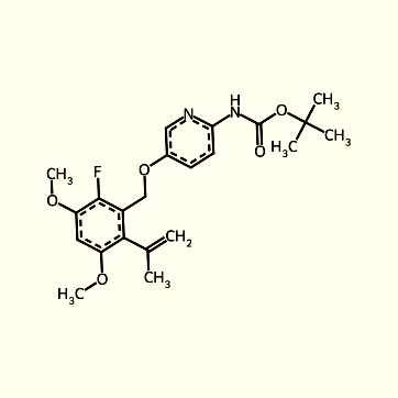 C=C(C)c1c(OC)cc(OC)c(F)c1COc1ccc(NC(=O)OC(C)(C)C)nc1